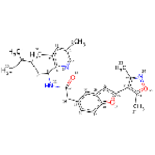 Cc1cnc(C(CCC(C)C)NC(=O)Cc2ccc3oc(-c4c(C)noc4C)cc3c2)c(C)c1